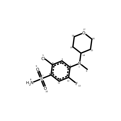 CN(c1cc(Cl)c(S(N)(=O)=O)cc1F)C1CCOCC1